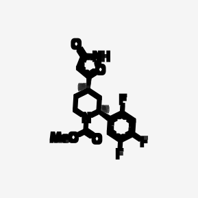 COC(=O)N1CC[C@@H](c2cc(=O)[nH]o2)C[C@H]1c1cc(F)c(F)cc1F